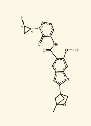 CC(C)Oc1cc2nc(C34COC(C)(C3)C4)cn2cc1C(=O)Nc1cccn([C@@H]2C[C@H]2F)c1=O